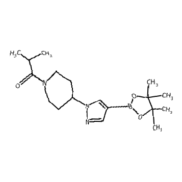 CC(C)C(=O)N1CCC(n2cc(B3OC(C)(C)C(C)(C)O3)cn2)CC1